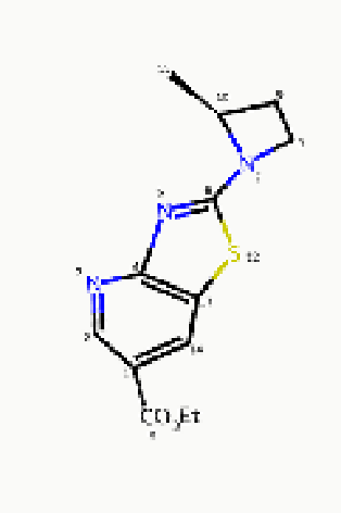 CCOC(=O)c1cnc2nc(N3CC[C@@H]3C)sc2c1